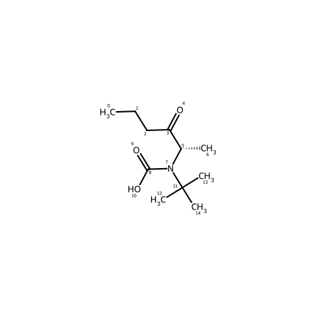 CCCC(=O)[C@H](C)N(C(=O)O)C(C)(C)C